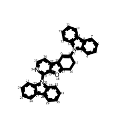 C1=C(n2c3ccccc3c3ccccc32)CCc2oc3c(-n4c5ccccc5c5ccccc54)nccc3c21